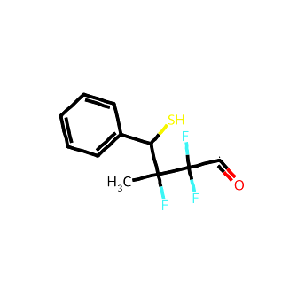 CC(F)(C(S)c1ccccc1)C(F)(F)[C]=O